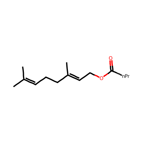 CCCC(=O)OC/C=C(\C)CCC=C(C)C